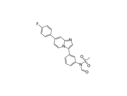 CS(=O)(=O)N(C=O)c1cccc(-c2cnc3cc(-c4ccc(F)cc4)ccn23)c1